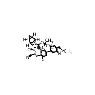 Cn1cc2ccc(-c3ccc(C[C@@H](C#N)NC(=O)[C@@H]4[C@@H]5C[C@@H]([C@H]6C[C@@H]56)N4C(=O)OC(C)(C)C)c(F)c3)cc2n1